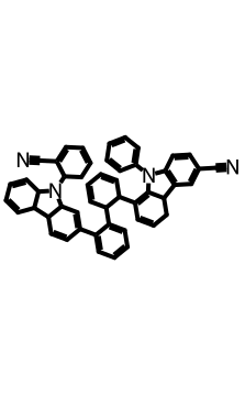 N#CC1=CC=CCC1N1C2C=CC=CC2C2C=CC(c3ccccc3C3C=CC=CC3C3=C4C(CC=C3)c3cc(C#N)ccc3N4c3ccccc3)=CC21